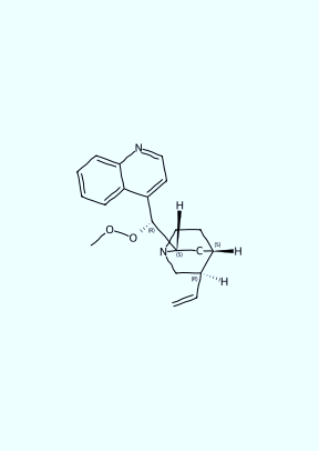 C=C[C@H]1CN2CC[C@H]1C[C@H]2[C@H](OOC)c1ccnc2ccccc12